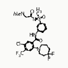 CNCC(=O)N=S(C)(=O)c1cccc(NC(=O)c2cc(Cl)c(C(F)(F)F)cc2N2CCCC(F)(F)CC2)c1